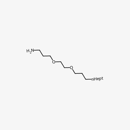 CCCCCCCCCCOCCOCCCN